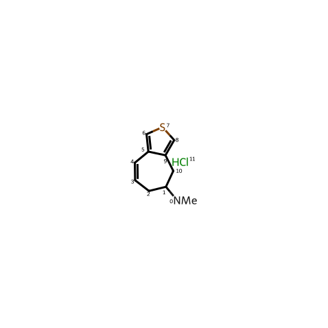 CNC1CC=Cc2cscc2C1.Cl